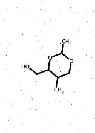 CC1OCC(C)C(CO)O1